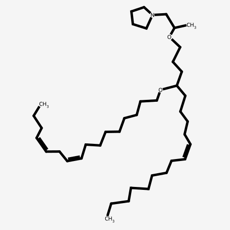 CCC/C=C\C/C=C\CCCCCCCCOC(CCCC/C=C\CCCCCCCC)CCCOC(C)CN1CCCC1